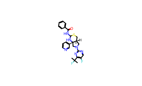 CC(C)(F)c1nc(N2C[C@H]3CSC(NC(=O)c4ccccc4)N[C@@]3(c3cccnc3)C2)ncc1F